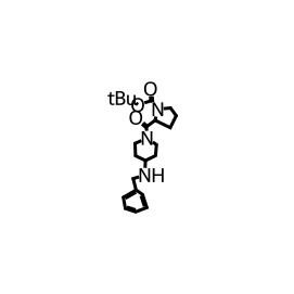 CC(C)(C)OC(=O)N1CCCC1C(=O)N1CCC(NCc2ccccc2)CC1